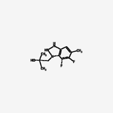 Cc1cc2c(c(F)c1F)N(CC(C)(C)O)NN2